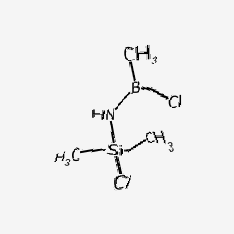 CB(Cl)N[Si](C)(C)Cl